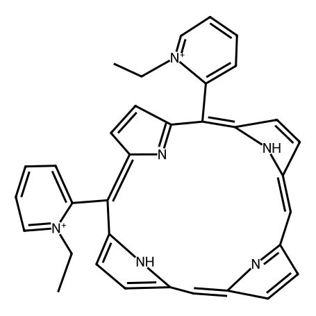 CC[n+]1ccccc1-c1c2nc(c(-c3cccc[n+]3CC)c3ccc(cc4nc(cc5ccc1[nH]5)C=C4)[nH]3)C=C2